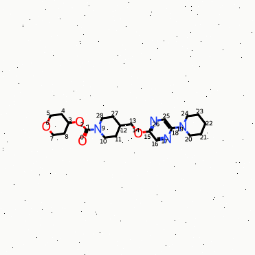 O=C(OC1CCOCC1)N1CCC(COc2cnc(N3CCCCC3)cn2)CC1